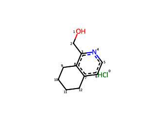 Cl.OCc1nccc2c1CCCC2